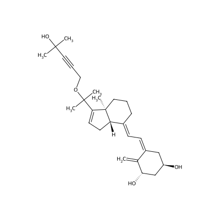 C=C1C(=CC=C2CCC[C@]3(C)C(C(C)(C)OCC#CC(C)(C)O)=CC[C@@H]23)C[C@@H](O)C[C@@H]1O